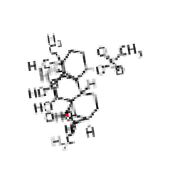 C=C1C(=O)[C@]23[C@H](O)[C@H]1CC[C@H]2[C@@]12CO[C@]3(O)[C@@H](O)[C@@H]1C(C)(C)CC[C@@H]2OS(C)(=O)=O